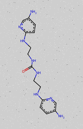 Nc1ccc(NCCNC(=O)NCCNc2ccc(N)cn2)nc1